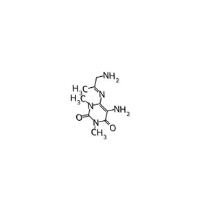 C/C(CN)=N\c1c(N)c(=O)n(C)c(=O)n1C